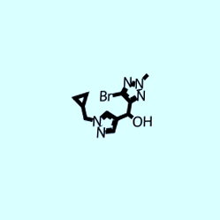 Cn1nc(Br)c(C(O)c2cnn(CC3CC3)c2)n1